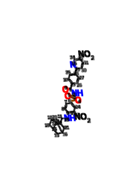 O=C(NS(=O)(=O)c1ccc(NCC23CC4CC(CC(C4)C2)C3)c([N+](=O)[O-])c1)c1ccc(-c2ccc([N+](=O)[O-])cn2)cc1